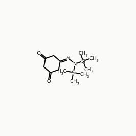 C[Si](C)(C)N(N=C1CC(=O)CC(=O)C1)[Si](C)(C)C